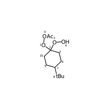 CC(=O)OOC1(OO)CCC(C(C)(C)C)CC1